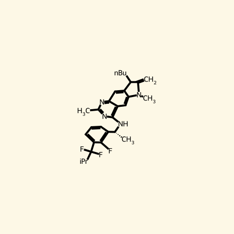 C=C1C(CCCC)c2cc3nc(C)nc(N[C@H](C)c4cccc(C(F)(F)C(C)C)c4F)c3cc2N1C